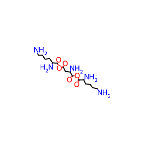 NCCCCC(N)C(=O)OC(=O)CC(N)C(=O)OC(=O)C(N)CCCCN